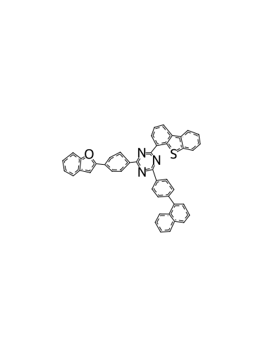 c1ccc2oc(-c3ccc(-c4nc(-c5ccc(-c6cccc7ccccc67)cc5)nc(-c5cccc6c5sc5ccccc56)n4)cc3)cc2c1